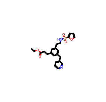 CCOC(=O)CCc1cc(CCNS(=O)(=O)c2ccco2)cc(Cc2cccnc2)c1